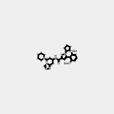 COc1cccc(OC)c1-c1cc(C(=O)NC(CCN2CCCCC2)Cc2nnc[nH]2)nn1C1CCCC1